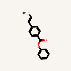 O=C(O)/C=C/c1ccc(C(=O)Oc2ccccc2)cc1